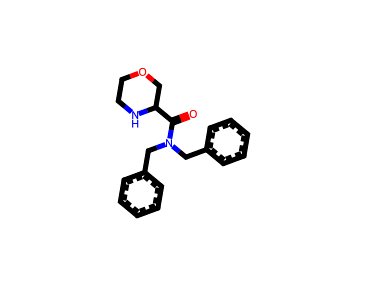 O=C(C1COCCN1)N(Cc1ccccc1)Cc1ccccc1